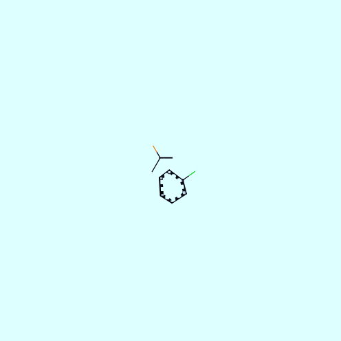 CC(C)P.Clc1ccccc1